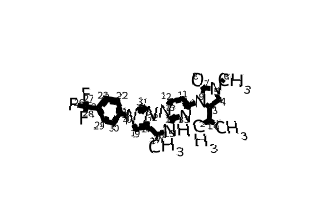 CC(C)C1CN(C)C(=O)N1c1ccnc(N[C@@H](C)c2cn(-c3ccc(C(F)(F)F)cc3)cn2)n1